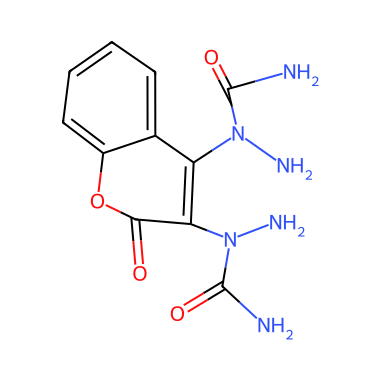 NC(=O)N(N)c1c(N(N)C(N)=O)c2ccccc2oc1=O